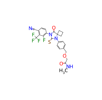 CNC(=O)COCc1ccc(N2C(=S)N(c3ccc(C#N)c(C(F)(F)F)c3F)C(=O)C23CCC3)cc1